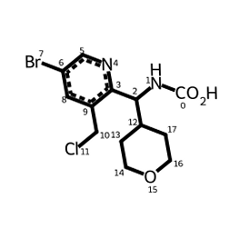 O=C(O)NC(c1ncc(Br)cc1CCl)C1CCOCC1